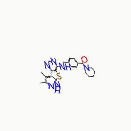 CC(=N)/C(C)=C1\C(=N)Sc2c(NCc3ccc(C(=O)N4CCCCC4)cc3)ncnc21